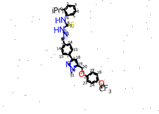 CC(C)c1ccccc1NC(=S)N/N=C/c1ccc(-c2cc(COc3ccc(OC(F)(F)F)cc3)n(C)n2)cc1